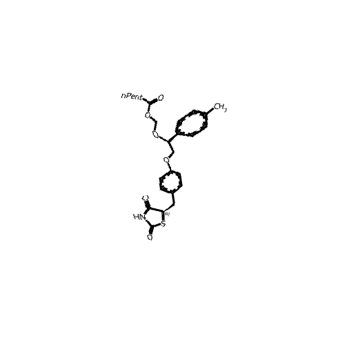 CCCCCC(=O)OCOC(COc1ccc(C[C@H]2SC(=O)NC2=O)cc1)c1ccc(C)cc1